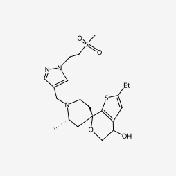 CCc1cc2c(s1)[C@]1(CCN(Cc3cnn(CCS(C)(=O)=O)c3)[C@@H](C)C1)OCC2O